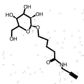 C#CCNC(=O)CCCCO[C@H]1OC(CO)[C@@H](O)C(O)[C@H]1O